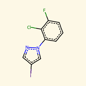 Fc1cccc(-n2cc(I)cn2)c1Cl